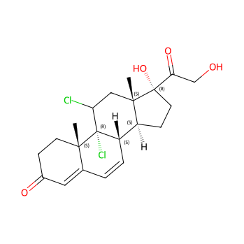 C[C@]12CCC(=O)C=C1C=C[C@H]1[C@@H]3CC[C@](O)(C(=O)CO)[C@@]3(C)CC(Cl)[C@@]12Cl